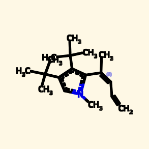 C=C/C=C(/C)c1c(C(C)(C)C)c(C(C)(C)C)cn1C